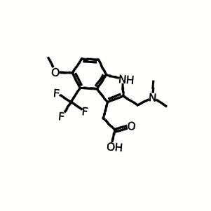 COc1ccc2[nH]c(CN(C)C)c(CC(=O)O)c2c1C(F)(F)F